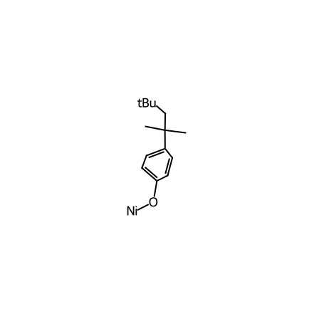 CC(C)(C)CC(C)(C)c1ccc([O][Ni])cc1